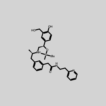 C[C@H](Cc1cccc(CC(=O)NCCc2ccccn2)c1)NC[C@H](O[Si](C)(C)C(C)(C)C)c1ccc(O)c(CO)c1